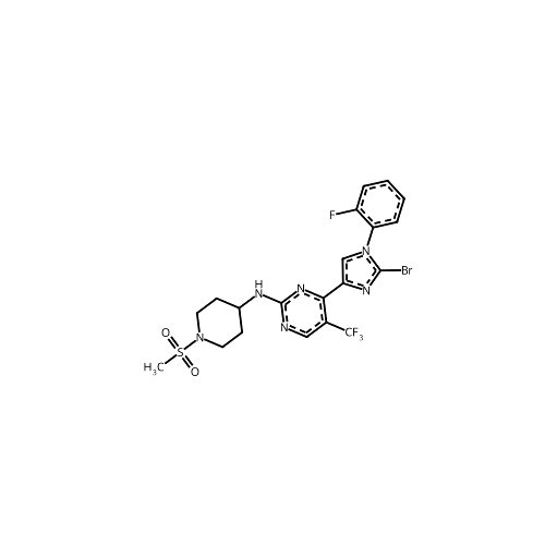 CS(=O)(=O)N1CCC(Nc2ncc(C(F)(F)F)c(-c3cn(-c4ccccc4F)c(Br)n3)n2)CC1